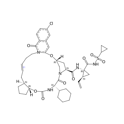 C=C[C@@H]1C[C@]1(NC(=O)[C@@H]1C[C@@H]2CN1C(=O)[C@H](C1CCCCC1)NC(=O)O[C@@H]1CCC[C@H]1C/C=C/CCn1c(cc3cc(Cl)ccc3c1=O)O2)C(=O)NS(=O)(=O)C1CC1